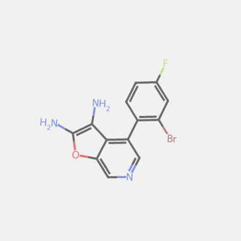 Nc1oc2cncc(-c3ccc(F)cc3Br)c2c1N